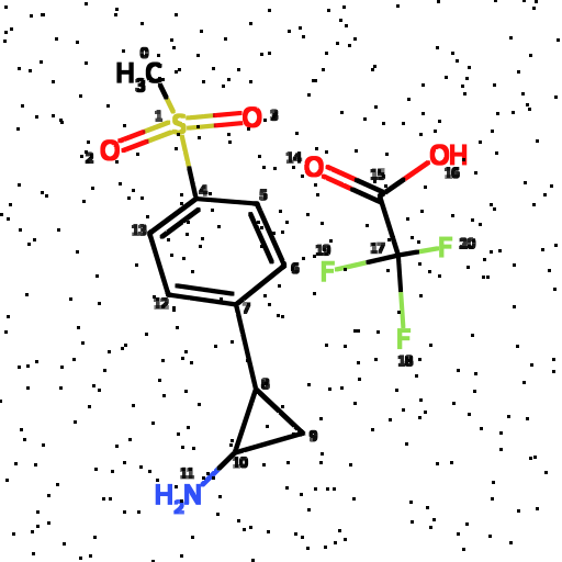 CS(=O)(=O)c1ccc(C2CC2N)cc1.O=C(O)C(F)(F)F